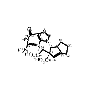 Nc1nc2c(ncn2[C@@H]2C3CCCC3=C[C@]2(CC(=O)O)C(=O)O)c(=O)[nH]1